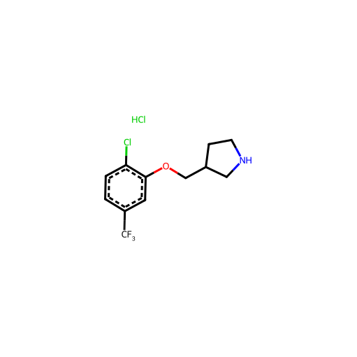 Cl.FC(F)(F)c1ccc(Cl)c(OCC2CCNC2)c1